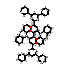 c1ccc(-c2cc(-c3cccnc3)nc(-c3ccc(-c4ccc(-c5nc(-c6cccnc6)cc(-c6ccccn6)n5)cc4N4c5ccccc5Sc5ccccc54)c(N4c5ccccc5Sc5ccccc54)c3)n2)nc1